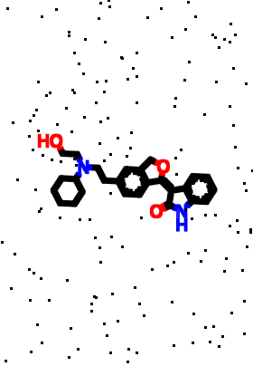 O=C1Nc2ccccc2C1=C1OCc2cc(CCN(CCO)C3CCCCC3)ccc21